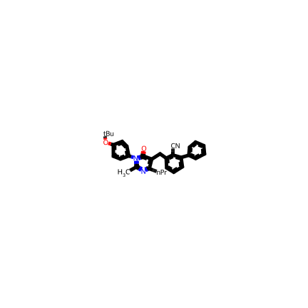 CCCc1nc(C)n(-c2ccc(OC(C)(C)C)cc2)c(=O)c1Cc1cccc(-c2ccccc2)c1C#N